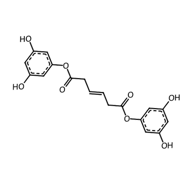 O=C(CC=CCC(=O)Oc1cc(O)cc(O)c1)Oc1cc(O)cc(O)c1